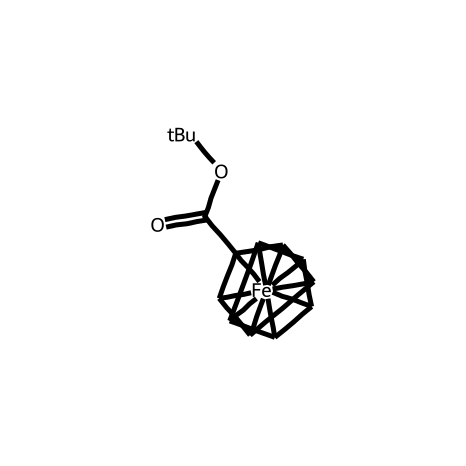 CC(C)(C)OC(=O)[C]12[CH]3[CH]4[CH]5[CH]1[Fe]45321678[CH]2[CH]1[CH]6[CH]7[CH]28